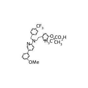 COc1cccc(-c2ccc(N(CCc3ccc(OC(C)(C)C(=O)O)cc3)Cc3ccc(C(F)(F)F)cc3)nc2)c1